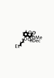 CCC=CCCOc1cccc2oc(=O)c(OC)c(OCCCCCCCCCC)c12